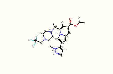 Cc1c(C(=O)OC(C)C)cc2cc(-c3ccnn3C)cn2c1C(C)N1CCN(CC(F)(F)F)CC1